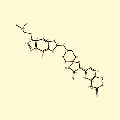 CN(C)CCn1nnc2c(F)c3c(cc21)CC(CN1CCC2(CC1)CN(c1cnc4c(n1)NC(=O)CO4)C(=O)O2)C3